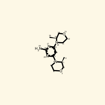 C[C@H]1COCCN1c1cc(N2CCOC[C@@H]2C)nc(N)n1